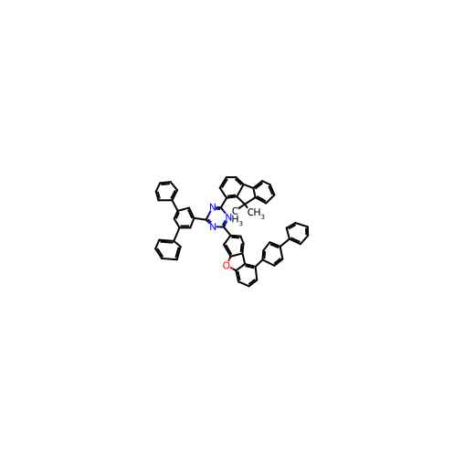 CC1(C)c2ccccc2-c2cccc(-c3nc(-c4cc(-c5ccccc5)cc(-c5ccccc5)c4)nc(-c4ccc5c(c4)oc4cccc(-c6ccc(-c7ccccc7)cc6)c45)n3)c21